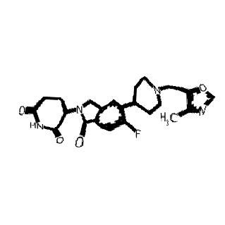 Cc1ncoc1CN1CCC(c2cc3c(cc2F)C(=O)N(C2CCC(=O)NC2=O)C3)CC1